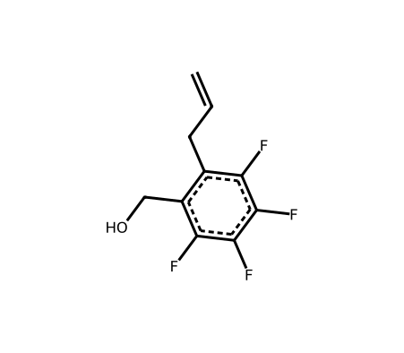 C=CCc1c(F)c(F)c(F)c(F)c1CO